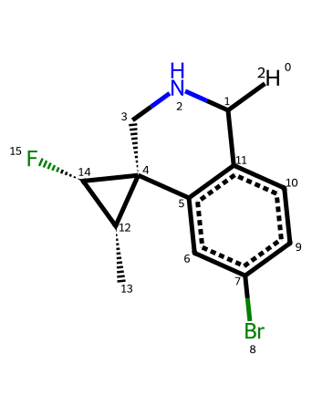 [2H]C1NC[C@]2(c3cc(Br)ccc31)[C@H](C)[C@@H]2F